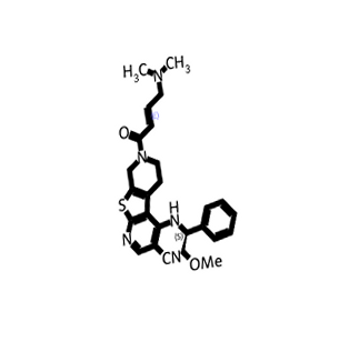 COC[C@@H](Nc1c(C#N)cnc2sc3c(c12)CCN(C(=O)/C=C/CN(C)C)C3)c1ccccc1